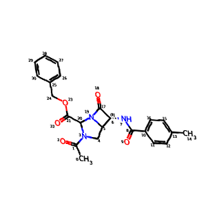 CC(=O)N1CC2[C@@H](NC(=O)c3ccc(C)cc3)C(=O)N2C1C(=O)OCc1ccccc1